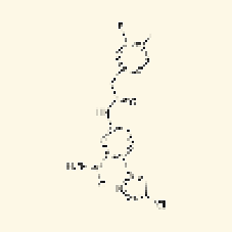 N[S+]([O-])c1cc(NC(=O)Cc2ccc(F)c(F)c2)ccc1-n1cc(Cl)cn1